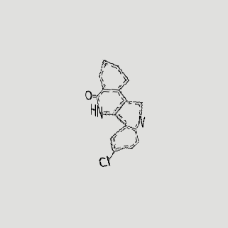 O=c1[nH]c2c3cc(Cl)ccc3ncc2c2ccccc12